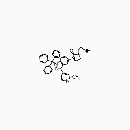 O=C1N(c2ccc3c(c2)c(-c2ccnc(C(F)(F)F)c2)nn3C(c2ccccc2)(c2ccccc2)c2ccccc2)CCC12CCNC2